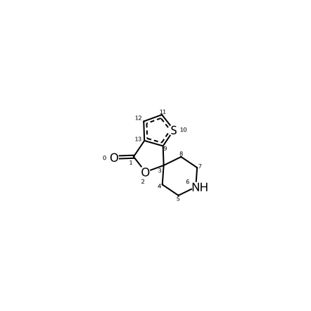 O=C1OC2(CCNCC2)c2sccc21